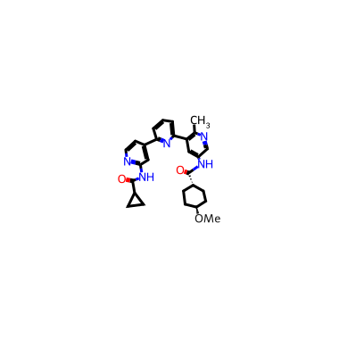 CO[C@H]1CC[C@H](C(=O)Nc2cnc(C)c(-c3cccc(-c4ccnc(NC(=O)C5CC5)c4)n3)c2)CC1